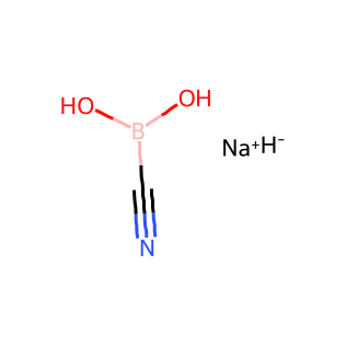 N#CB(O)O.[H-].[Na+]